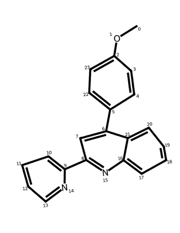 COc1ccc(-c2cc(-c3ccccn3)nc3ccccc23)cc1